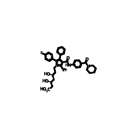 CC(C)c1c(C(=O)Nc2ccc(C(=O)N3CCCCC3)cc2)c(-c2ccccc2)c(-c2ccc(F)cc2)n1CC[C@@H](O)C[C@@H](O)CC(=O)O